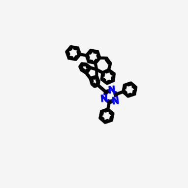 C1=Cc2ccc(-c3ccccc3)cc2C2(c3ccccc31)c1ccccc1-c1ccc(-c3nc(-c4ccccc4)nc(-c4ccccc4)n3)cc12